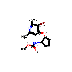 COc1nc(C)cc(O[C@@H]2CCC[C@H]2NC(=O)OC(C)(C)C)c1Br